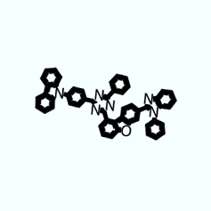 c1ccc(-c2nc(-c3ccc(-n4c5ccccc5c5ccccc54)cc3)nc(-c3cccc4oc5cc(-c6nc7ccccc7n6-c6ccccc6)ccc5c34)n2)cc1